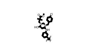 COC(=O)C(C)(C)CN1CN(Cc2ccc(Cl)cc2)C(Nc2cccc(C(F)(F)F)c2)=CC1O